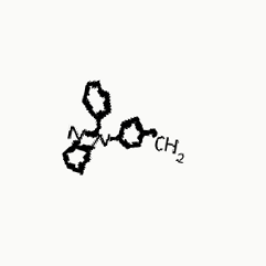 C=Cc1ccc(-n2c(-c3ccccc3)nc3ccccc32)cc1